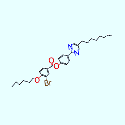 CCCCCCCCc1cnc(-c2ccc(OC(=O)c3ccc(OCCCCCC)c(Br)c3)cc2)nc1